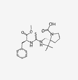 COC(=O)[C@H](Cc1ccccc1)NC(=S)NC[C@@]1(C(C)(C)C)CCCN1C(=O)O